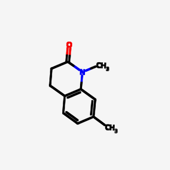 Cc1ccc2c(c1)N(C)C(=O)CC2